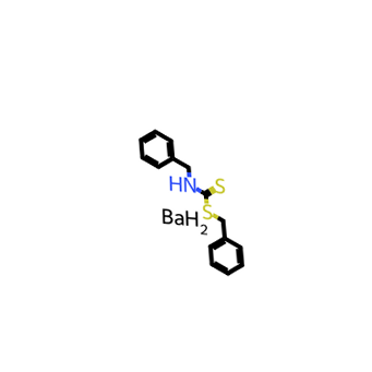 S=C(NCc1ccccc1)SCc1ccccc1.[BaH2]